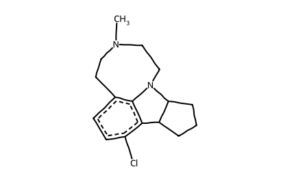 CN1CCc2ccc(Cl)c3c2N(CC1)C1CCCC31